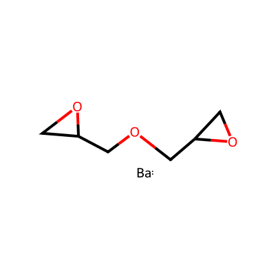 C(OCC1CO1)C1CO1.[Ba]